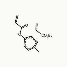 C=CC(=O)OCC.C=CC(=O)Oc1ccc(C)cc1